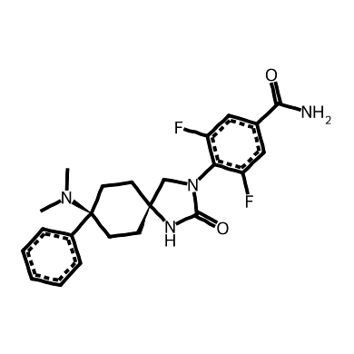 CN(C)[C@]1(c2ccccc2)CC[C@@]2(CC1)CN(c1c(F)cc(C(N)=O)cc1F)C(=O)N2